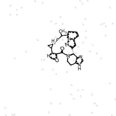 CC(P)c1cccc2cc([C@@H]3c4nc[nH]c4CCN3C(=O)c3ocnc3C3CC3)nn12